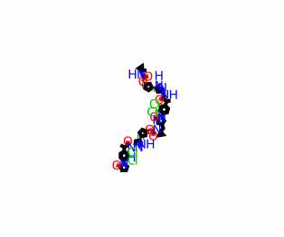 CC(C(=O)Nc1cc([C@@H]2CC[C@@H](OC(=O)NC3(CC4CC(=O)N(c5ccc(C(C)C(=O)Nc6cc([C@H]7CC[C@@H](OC(=O)NC8(C)CC8)C7)[nH]n6)c(Cl)c5Cl)C4)CC3)C2)[nH]n1)c1ccc(N2CCCC2=O)c(Cl)c1Cl